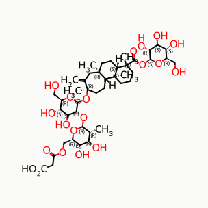 C=C1C[C@@]2(C)CC[C@H]3[C@@](C)(CCC[C@@]3(C)C(=O)O[C@@H]3O[C@H](CO)[C@@H](O)[C@H](O)[C@H]3O)[C@@H]2CC[C@@]1(C)O[C@@H]1O[C@H](CO)[C@@H](O)[C@H](O)[C@H]1O[C@@H]1O[C@H](COC(=O)CC(=O)O)[C@@H](O)[C@H](O)[C@H]1C